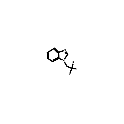 FC(F)(F)Cn1cnc2c[c]ccc21